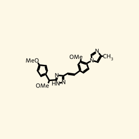 COc1ccc(C(OC)c2nc(C=Cc3ccc(-n4cnc(C)c4)c(OC)c3)n[nH]2)cc1